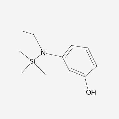 CCN(c1cccc(O)c1)[Si](C)(C)C